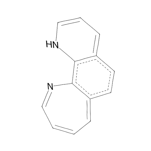 C1=CC=c2ccc3c(c2N=C1)NC=CC=3